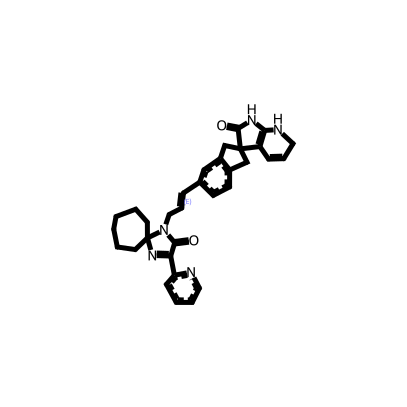 O=C1C(c2ccccn2)=NC2(CCCCCC2)N1C/C=C/c1ccc2c(c1)CC1(C2)C(=O)NC2=C1C=CCN2